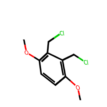 COc1ccc(OC)c(CCl)c1CCl